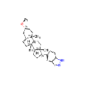 CC(C)O[C@@H]1CC[C@@]2(C)C(=CC[C@H]3[C@@H]4CC[C@H](c5ccc6[nH]ncc6c5)[C@@]4(C)CC[C@@H]32)C1